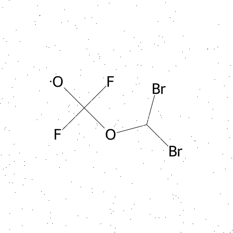 [O]C(F)(F)OC(Br)Br